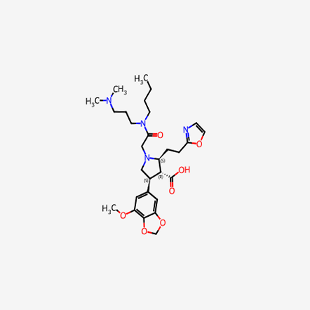 CCCCN(CCCN(C)C)C(=O)CN1C[C@H](c2cc(OC)c3c(c2)OCO3)[C@@H](C(=O)O)[C@@H]1CCc1ncco1